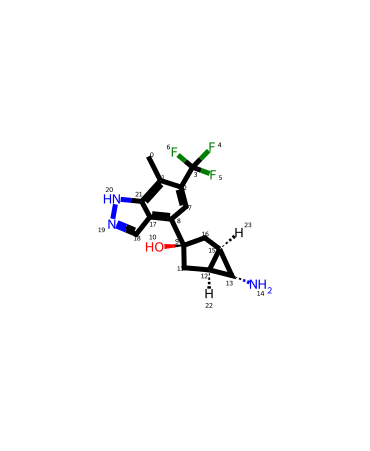 Cc1c(C(F)(F)F)cc([C@@]2(O)C[C@@H]3[C@@H](N)[C@@H]3C2)c2cn[nH]c12